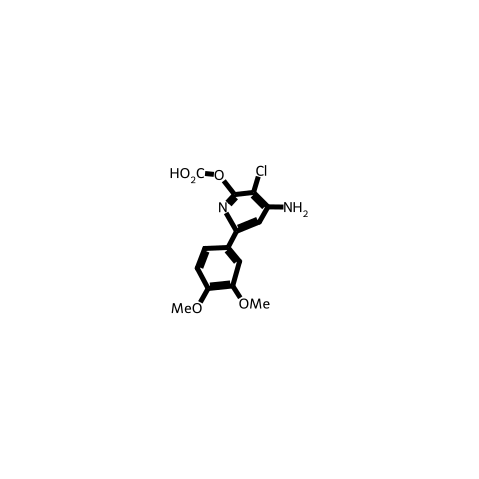 COc1ccc(-c2cc(N)c(Cl)c(OC(=O)O)n2)cc1OC